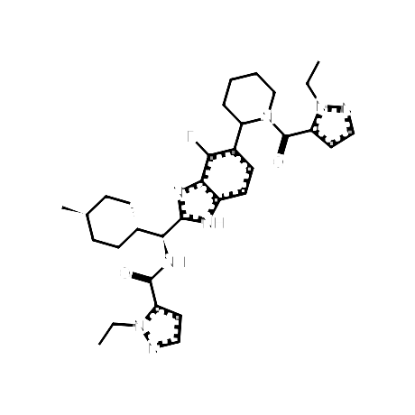 CCn1nccc1C(=O)N[C@H](c1nc2c(F)c(C3CCCCN3C(=O)c3ccnn3CC)ccc2[nH]1)[C@H]1CC[C@H](C)CC1